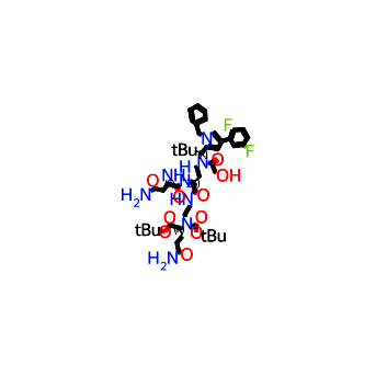 CC(C)(C)OC(=O)[C@@H](CCC(N)=O)N(CCNC(=O)[C@H](CCN(C(=O)CO)[C@@H](c1cc(-c2cc(F)ccc2F)cn1Cc1ccccc1)C(C)(C)C)NC(=O)[C@@H](N)CC(N)=O)C(=O)OC(C)(C)C